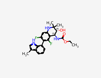 CCOC(=O)N[C@H]1c2c(cc(F)c(-c3cccc4c(C)c[nH]c34)c2F)NC(C)(C)[C@@H]1O